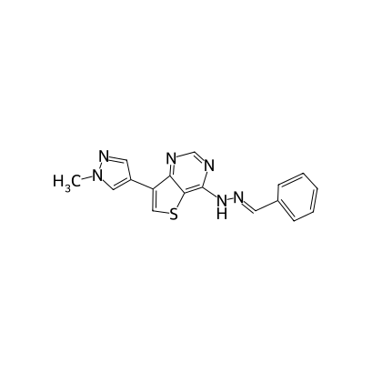 Cn1cc(-c2csc3c(NN=Cc4ccccc4)ncnc23)cn1